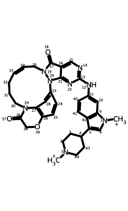 CN1CCC(c2cn(C)c3cc(Nc4ncc5c(=O)n6n(c5n4)-c4ccc5c(c4)N(CCC/C=C\C6)C(=O)CO5)ccc23)CC1